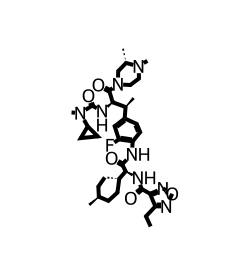 CCc1nonc1C(=O)N[C@H](C(=O)Nc1ccc([C@H](C)[C@@H](NC(=O)N(C)C2CC2)C(=O)N2CCN(C)[C@@H](C)C2)cc1F)[C@H]1CC[C@H](C)CC1